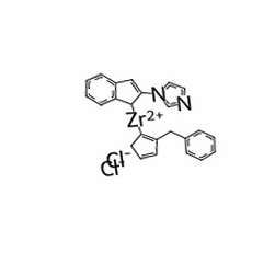 C1=CC(Cc2ccccc2)=[C]([Zr+2][CH]2C(n3ccnc3)=Cc3ccccc32)C1.[Cl-].[Cl-]